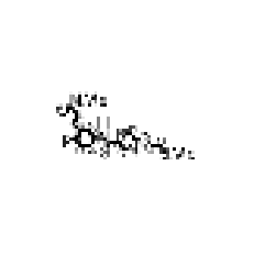 CNC(=O)CCc1cc(NC(=O)c2cnc(OCCSC)cn2)ccc1F